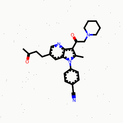 CC(=O)CCc1cnc2c(C(=O)CN3CCCCC3)c(C)n(-c3ccc(C#N)cc3)c2c1